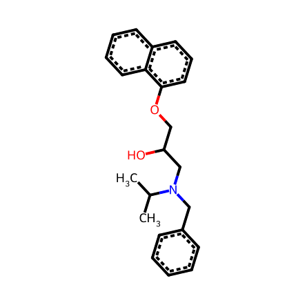 CC(C)N(Cc1ccccc1)CC(O)COc1cccc2ccccc12